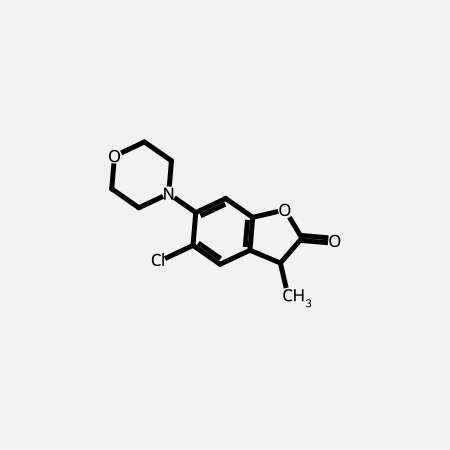 CC1C(=O)Oc2cc(N3CCOCC3)c(Cl)cc21